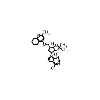 Cc1cc(OC[C@@H]2C[C@@H](n3ccc4c(Cl)ncnc43)[C@@H]3OC(C)(C)O[C@H]23)c2c(n1)CCCC2